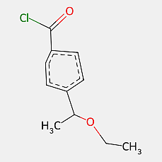 CCOC(C)c1ccc(C(=O)Cl)cc1